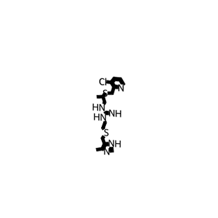 Cc1nc[nH]c1CSCCNC(=N)NCC(C)SCc1ncccc1Cl